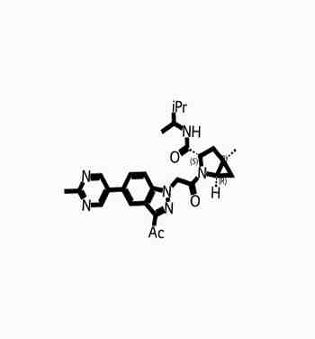 CC(=O)c1nn(CC(=O)N2[C@H](C(=O)NC(C)C(C)C)C[C@@]3(C)C[C@@H]23)c2ccc(-c3cnc(C)nc3)cc12